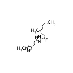 CC/C=C\C=C(/C)C1CC(F)c2nc(/C=C/c3cnn(C)c3)nn21